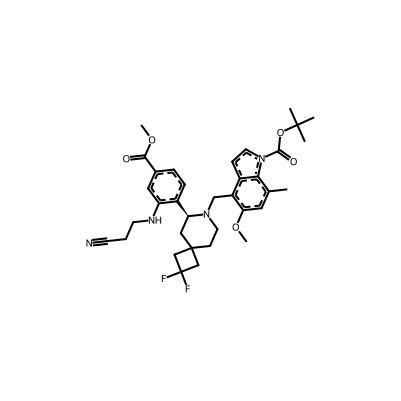 COC(=O)c1ccc([C@@H]2CC3(CCN2Cc2c(OC)cc(C)c4c2ccn4C(=O)OC(C)(C)C)CC(F)(F)C3)c(NCCC#N)c1